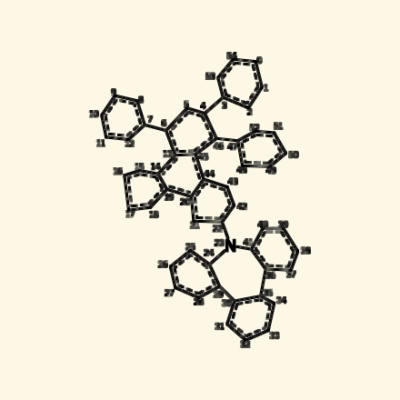 c1ccc(-c2cc(-c3ccccc3)c3c4ccccc4c4cc(N5c6ccccc6-c6ccccc6-c6ccccc65)ccc4c3c2-c2ccccc2)cc1